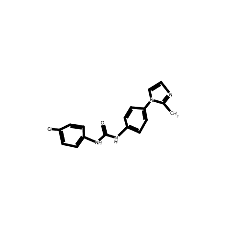 Cc1nccn1-c1ccc(NC(=O)Nc2ccc(Cl)cc2)cc1